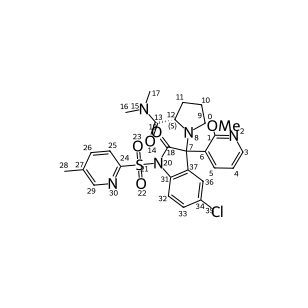 COc1ncccc1C1(N2CCC[C@H]2C(=O)N(C)C)C(=O)N(S(=O)(=O)c2ccc(C)cn2)c2ccc(Cl)cc21